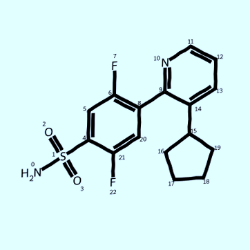 NS(=O)(=O)c1cc(F)c(-c2ncccc2C2CCCC2)cc1F